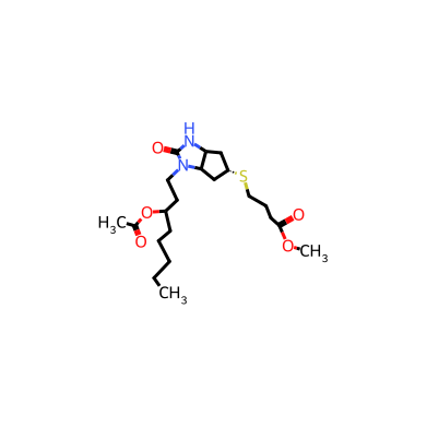 CCCCCC(CCN1C(=O)NC2C[C@H](SCCCC(=O)OC)CC21)OC(C)=O